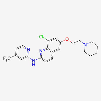 FC(F)(F)c1ccnc(Nc2ccc3cc(OCCN4CCCCC4)cc(Cl)c3n2)c1